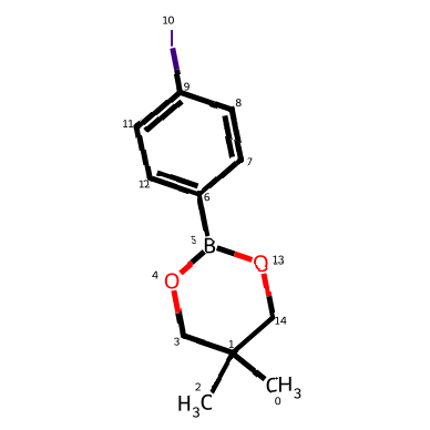 CC1(C)COB(c2ccc(I)cc2)OC1